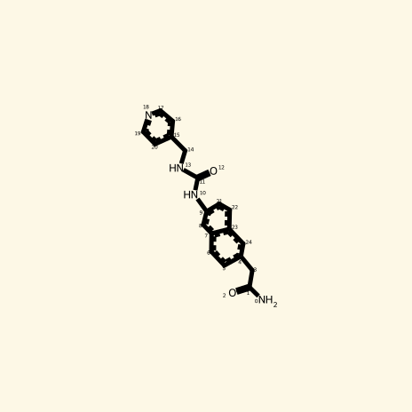 NC(=O)Cc1ccc2cc(NC(=O)NCc3ccncc3)ccc2c1